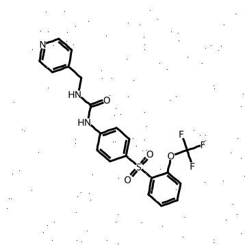 O=C(NCc1ccncc1)Nc1ccc(S(=O)(=O)c2ccccc2OC(F)(F)F)cc1